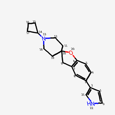 c1cc(-c2ccc3c(c2)CC2(CCN(C4CCC4)CC2)O3)c[nH]1